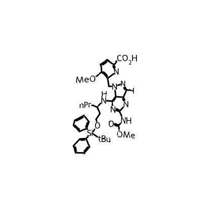 CCCC(CCO[Si](c1ccccc1)(c1ccccc1)C(C)(C)C)Nc1nc(NC(=O)OC)nc2c(I)nn(Cc3nc(C(=O)O)ccc3OC)c12